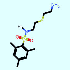 CCN(CCSCCN)S(=O)(=O)c1c(C)cc(C)cc1C